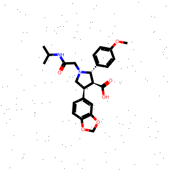 COc1ccc([C@@H]2[C@@H](C(=O)O)[C@@H](c3ccc4c(c3)OCO4)CN2CC(=O)NC(C)C)cc1